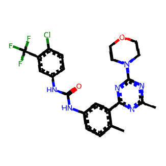 Cc1nc(-c2cc(NC(=O)Nc3ccc(Cl)c(C(F)(F)F)c3)ccc2C)nc(N2CCOCC2)n1